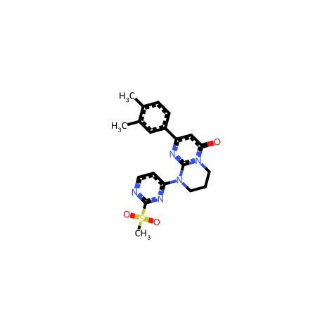 Cc1ccc(-c2cc(=O)n3c(n2)N(c2ccnc(S(C)(=O)=O)n2)CCC3)cc1C